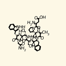 C[C@H](NC(=O)[C@@H]1CCCN1C(=O)[C@@H](N)CC(=O)O)C(=O)N[C@@H](Cc1ccccc1)C(=O)N[C@@H](CO)C(=O)N[C@@H](CO)C(=O)N[C@@H](Cc1c[nH]c2ccccc12)C(=O)NCC(N)=O